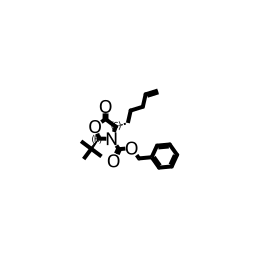 C=CCCC[C@H]1C(=O)O[C@H](C(C)(C)C)N1C(=O)OCc1ccccc1